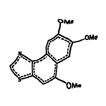 COc1cc2c(OC)cc3scnc3c2cc1OC